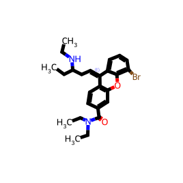 CCNC(CC)C/C=C1\c2ccc(C(=O)N(CC)CC)cc2Oc2c(Br)cccc21